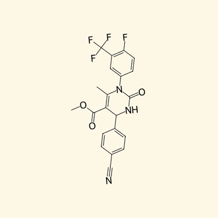 COC(=O)C1=C(C)N(c2ccc(F)c(C(F)(F)F)c2)C(=O)NC1c1ccc(C#N)cc1